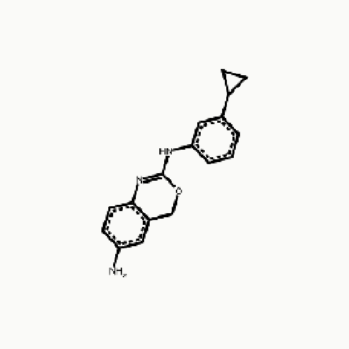 Nc1ccc2c(c1)COC(Nc1cccc(C3CC3)c1)=N2